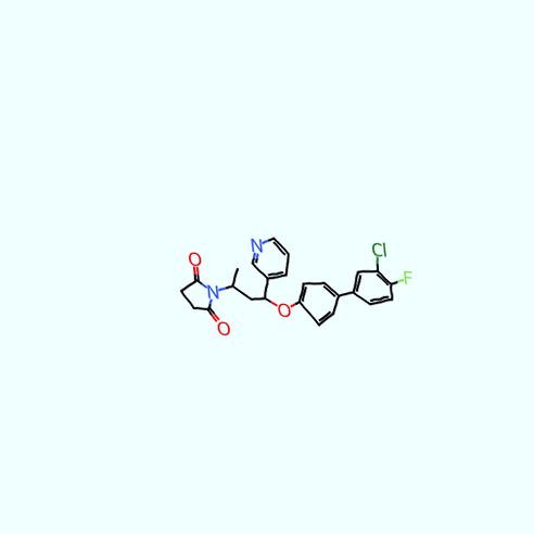 CC(CC(Oc1ccc(-c2ccc(F)c(Cl)c2)cc1)c1cccnc1)N1C(=O)CCC1=O